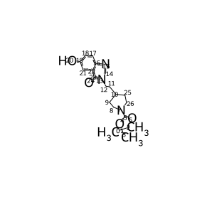 CC(C)(C)OC(=O)N1CCC(CCn2cnc3ccc(O)cc3c2=O)CC1